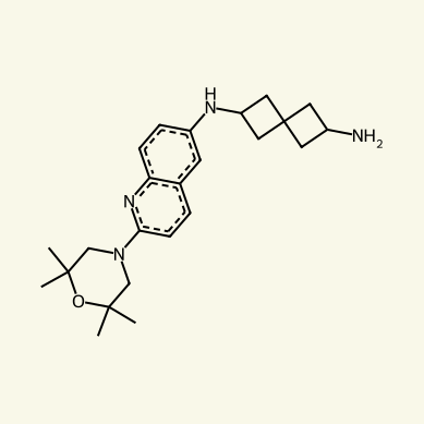 CC1(C)CN(c2ccc3cc(NC4CC5(CC(N)C5)C4)ccc3n2)CC(C)(C)O1